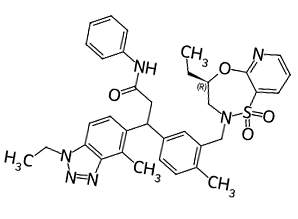 CC[C@@H]1CN(Cc2cc(C(CC(=O)Nc3ccccc3)c3ccc4c(nnn4CC)c3C)ccc2C)S(=O)(=O)c2cccnc2O1